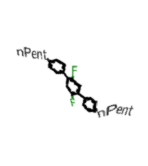 CCCCCc1ccc(-c2cc(F)c(-c3ccc(CCCCC)cc3)cc2F)cc1